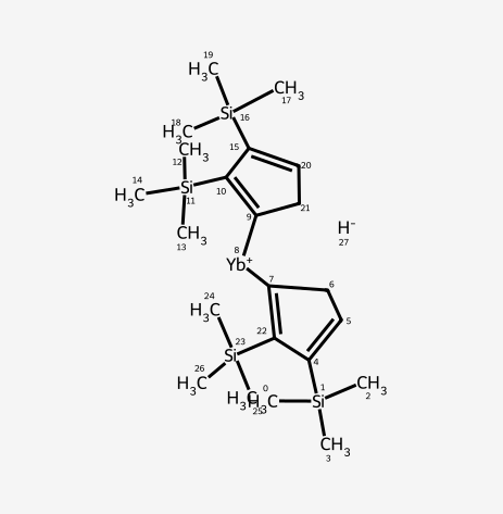 C[Si](C)(C)C1=CC[C]([Yb+][C]2=C([Si](C)(C)C)C([Si](C)(C)C)=CC2)=C1[Si](C)(C)C.[H-]